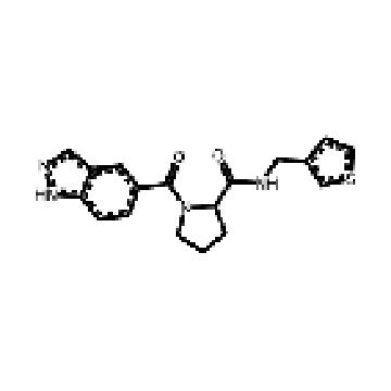 O=C(NCc1ccsc1)C1CCCN1C(=O)c1ccc2[nH]ncc2c1